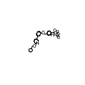 CS(=O)(=O)NC(=O)c1ccc(COc2cccc(-c3ccc(OCC4CCCC4)nc3)c2)cc1